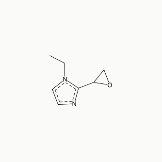 CCn1ccnc1C1CO1